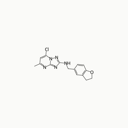 Cc1cc(Cl)n2nc(NCc3ccc4c(c3)CCO4)nc2n1